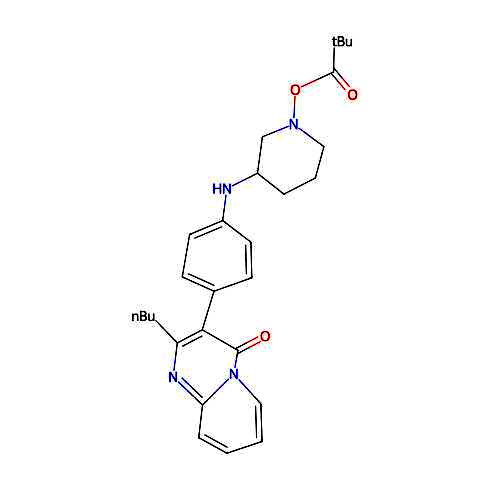 CCCCc1nc2ccccn2c(=O)c1-c1ccc(NC2CCCN(OC(=O)C(C)(C)C)C2)cc1